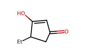 CCC1CC(=O)C=C1O